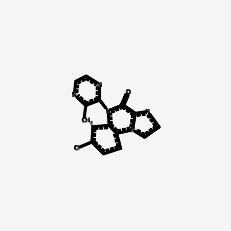 Cc1nccnc1-n1c(=O)c2nccn2c2ccc(Cl)cc21